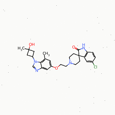 Cc1cc(OCCN2CCC3(CC2)C(=O)Nc2ccc(Cl)cc23)cc2ncn(C3CC(C)(O)C3)c12